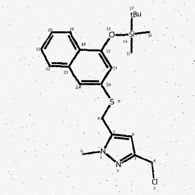 Cn1nc(CCl)cc1CSc1cc(O[Si](C)(C)C(C)(C)C)c2ccccc2c1